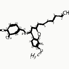 CCCCCCCC1CC(NCc2ccc(Cl)c(Cl)c2)c2ccc(OC)cc2O1